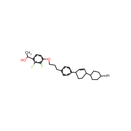 CCCC1CCC(C2C=CC(c3ccc(CCCOc4ccc(C(C)O)c(F)c4F)cc3)CC2)CC1